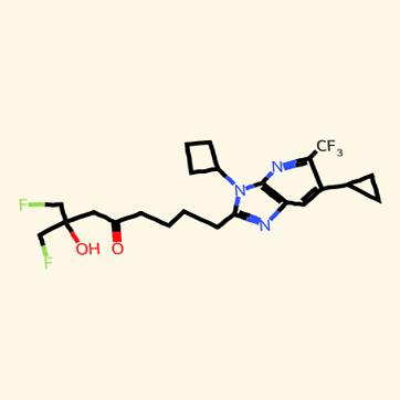 O=C(CCCCc1nc2cc(C3CC3)c(C(F)(F)F)nc2n1C1CCC1)CC(O)(CF)CF